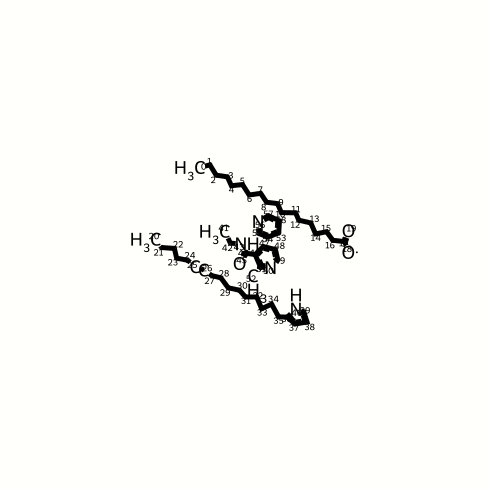 CCCCCCCCCCCCCCCCCC([O])=O.CCCCCCCCCCCCCCCCc1ccc[nH]1.CCNC(=O)c1cccnc1C.c1ccncc1